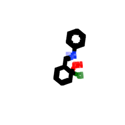 OC1(Cl)C=CC=CC1/C=N/c1ccccc1